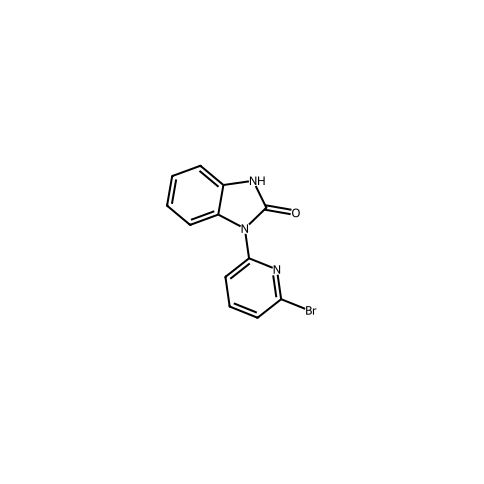 O=c1[nH]c2ccccc2n1-c1cccc(Br)n1